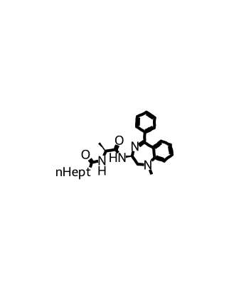 CCCCCCCC(=O)N[C@@H](C)C(=O)N[C@@H]1CN(C)c2ccccc2C(c2ccccc2)=N1